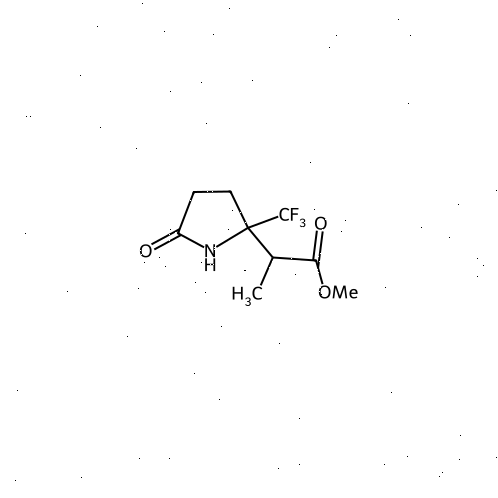 COC(=O)C(C)C1(C(F)(F)F)CCC(=O)N1